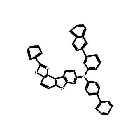 c1ccc(-c2ccc(N(c3cccc(-c4ccc5ccccc5c4)c3)c3ccc4c(c3)oc3ccc5oc(-c6ccccc6)nc5c34)cc2)cc1